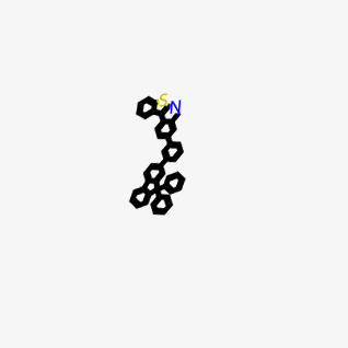 c1ccc(C2(c3ccccc3)c3ccccc3-c3ccc(-c4cccc(-c5ccc6c(cnc7sc8ccccc8c76)c5)c4)cc32)cc1